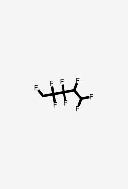 FCC(F)(F)C(F)(F)C(F)[C](F)F